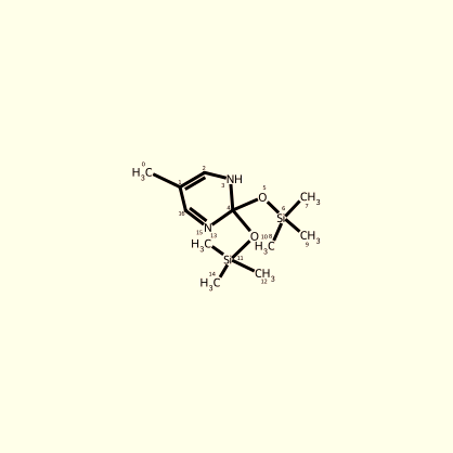 CC1=CNC(O[Si](C)(C)C)(O[Si](C)(C)C)N=C1